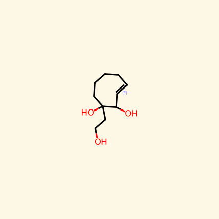 OCCC1(O)CCCC/C=C/C1O